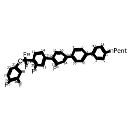 CCCCCc1ccc(-c2ccc(-c3ccc(-c4ccc(C(F)(F)Oc5ccc(F)c(F)c5)c(F)c4)c(F)c3)cc2)cc1